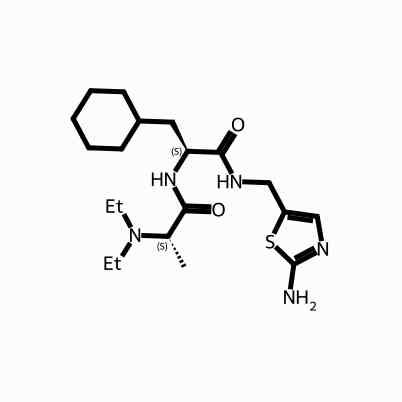 CCN(CC)[C@@H](C)C(=O)N[C@@H](CC1CCCCC1)C(=O)NCc1cnc(N)s1